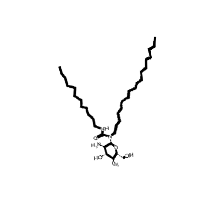 CCCCCCCCCCCCCCCCCCN(C(=O)NCCCCCCCCCCCC)[C@@H]1O[C@H](CO)[C@@H](O)[C@H](O)[C@@H]1N